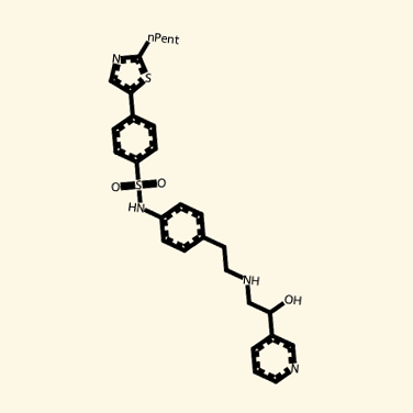 CCCCCc1ncc(-c2ccc(S(=O)(=O)Nc3ccc(CCNCC(O)c4cccnc4)cc3)cc2)s1